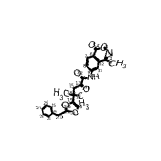 Cc1noc(=O)c2ccc(NC(=O)C(=O)CC(C)(C)C3=COC(Cc4ccccc4)O3)cc12